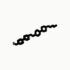 CC=CCCC1CCC(C2CCC(CCc3ccc(-c4ccc(CF)cc4)cc3)CC2)CC1